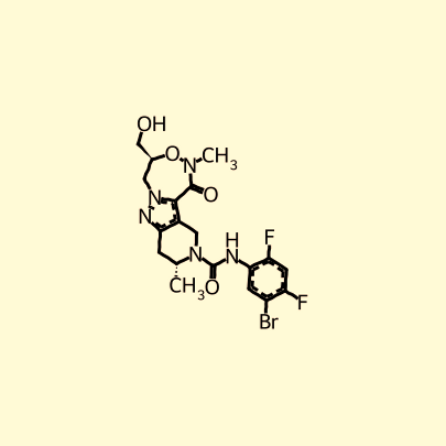 C[C@@H]1Cc2nn3c(c2CN1C(=O)Nc1cc(Br)c(F)cc1F)C(=O)N(C)O[C@H](CO)C3